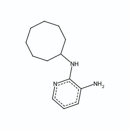 Nc1cccnc1NC1CCCCCCC1